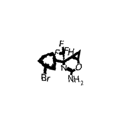 NC1=N[C@@](c2cccc(Br)c2)(C(F)(F)F)[C@H]2CC2O1